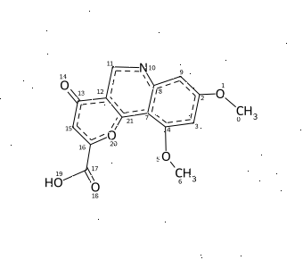 COc1cc(OC)c2c(c1)ncc1c(=O)cc(C(=O)O)oc12